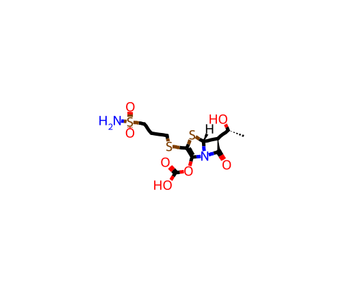 C[C@@H](O)[C@H]1C(=O)N2C(OC(=O)O)=C(SCCCS(N)(=O)=O)S[C@H]12